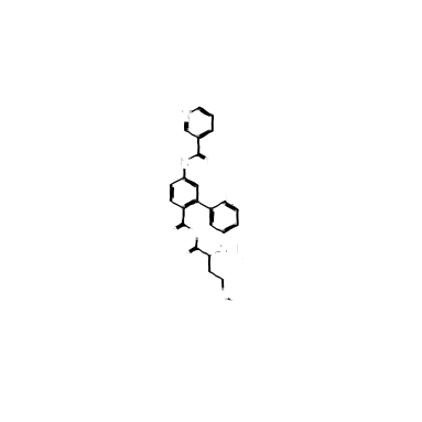 CSCC[C@H](N)C(=O)OC(=O)c1ccc(NC(=O)c2cccnc2)cc1-c1ccccc1.Cl